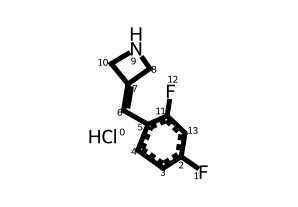 Cl.Fc1ccc(C=C2CNC2)c(F)c1